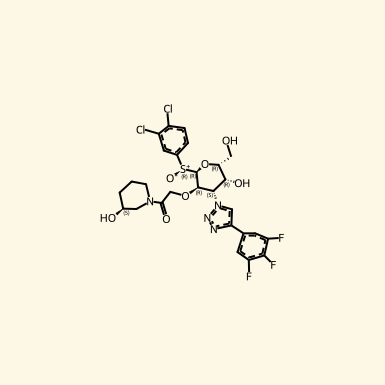 O=C(CO[C@@H]1[C@@H](n2cc(-c3cc(F)c(F)c(F)c3)nn2)[C@@H](O)[C@@H](CO)O[C@@H]1[S@@+]([O-])c1ccc(Cl)c(Cl)c1)N1CCC[C@H](O)C1